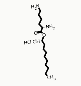 CCCCCCCCCCOC(=O)[C@@H](N)CCCCN.Cl.Cl